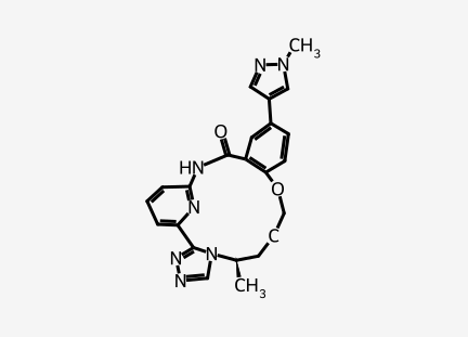 C[C@@H]1CCCOc2ccc(-c3cnn(C)c3)cc2C(=O)Nc2cccc(n2)-c2nncn21